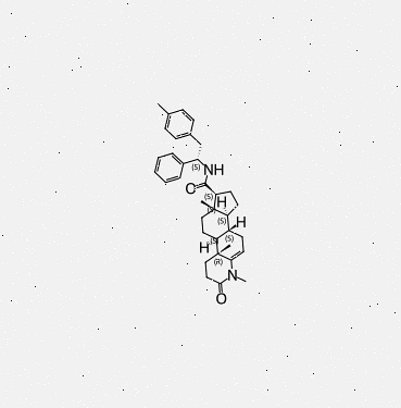 Cc1ccc(C[C@H](NC(=O)[C@H]2CC[C@H]3[C@@H]4CC=C5N(C)C(=O)CC[C@]5(C)[C@H]4CC[C@]23C)c2ccccc2)cc1